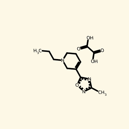 CCCN1CCC=C(c2nc(C)no2)C1.O=C(O)C(=O)O